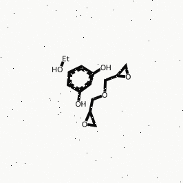 C(OCC1CO1)C1CO1.CCO.Oc1cccc(O)c1